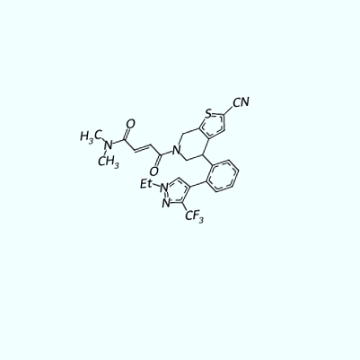 CCn1cc(-c2ccccc2C2CN(C(=O)/C=C/C(=O)N(C)C)Cc3sc(C#N)cc32)c(C(F)(F)F)n1